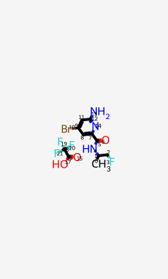 CC(CF)NC(=O)c1cc(Br)cc(N)n1.O=C(O)C(F)(F)F